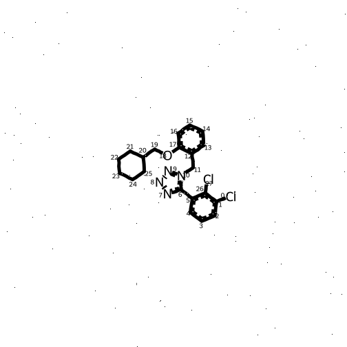 Clc1cccc(-c2nnnn2Cc2ccccc2OCC2CCCCC2)c1Cl